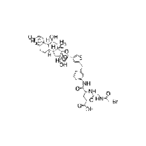 C[C@]12C=CC(=O)C=C1CC[C@@H]1[C@@H]2[C@@H](O)C[C@@]2(C)[C@H]1C[C@H]1O[C@@H](c3csc(Cc4cccc(NC(=O)[C@H](CCC(=O)O)NC(=O)CNC(=O)CBr)c4)c3)O[C@]12C(=O)CO